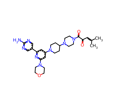 CC(C)=CC(=O)C(=O)N1CCN(C2CCN(c3cc(-c4cnc(N)nc4)nc(N4CCOCC4)c3)CC2)CC1